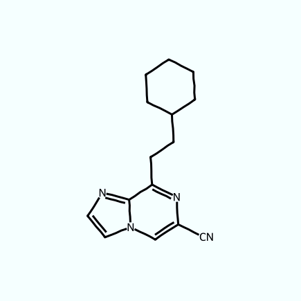 N#Cc1cn2ccnc2c(CCC2CCCCC2)n1